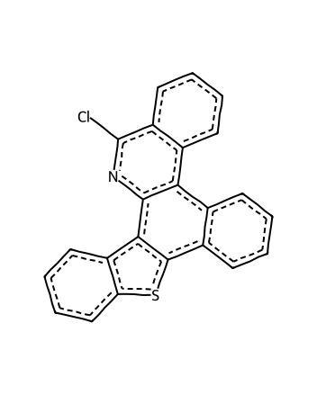 Clc1nc2c(c3ccccc13)c1ccccc1c1sc3ccccc3c21